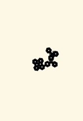 C1=C(c2cccc3c2-c2ccccc2C32c3ccccc3-c3ccccc32)CCC(N(c2ccccc2)c2ccc3c(c2)c2ccccc2n3-c2ccccc2)=C1